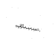 O=[N+]([O-])CCCCCCCCCCCC(O)CBr